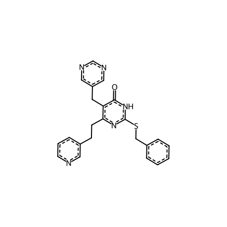 O=c1[nH]c(SCc2ccccc2)nc(CCc2cccnc2)c1Cc1cncnc1